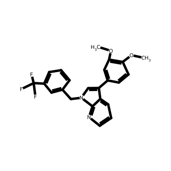 COc1ccc(-c2cn(Cc3cccc(C(F)(F)F)c3)c3ncccc23)cc1OC